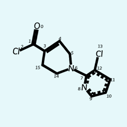 O=C(Cl)C1=CCN(c2ncccc2Cl)CC1